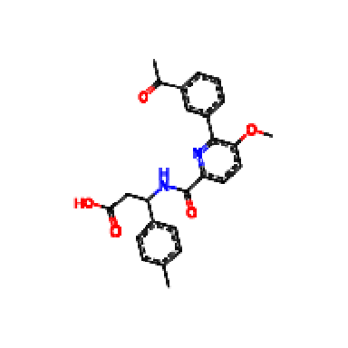 COc1ccc(C(=O)NC(CC(=O)O)c2ccc(C)cc2)nc1-c1cccc(C(C)=O)c1